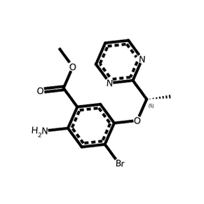 COC(=O)c1cc(O[C@@H](C)c2ncccn2)c(Br)cc1N